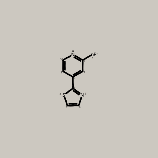 CCCc1cc(-c2nccs2)ccn1